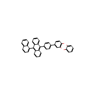 c1ccc2c(c1)Oc1ccc(-c3ccc(-c4c5ccccc5c(-c5cccc6ccccc56)c5ccccc45)cc3)cc1O2